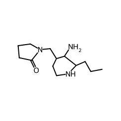 CCCC1NCCC(CN2CCCC2=O)C1N